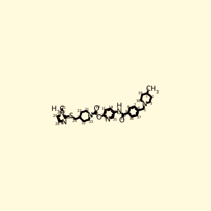 CC1CCN(Cc2ccc(C(=O)Nc3ccc(OC(=O)N4CCC(CSc5nccn5C)CC4)nc3)cc2)CC1